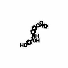 O=C(COc1ccc2c(c1)C[C@@H](NC[C@@H](O)c1ccc(O)cc1)CC2)N1CCCC1